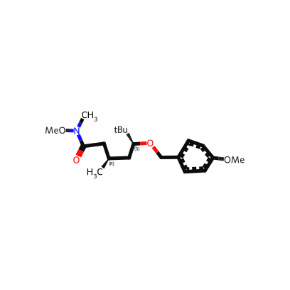 COc1ccc(CO[C@@H](C[C@@H](C)CC(=O)N(C)OC)C(C)(C)C)cc1